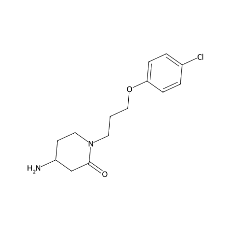 NC1CCN(CCCOc2ccc(Cl)cc2)C(=O)C1